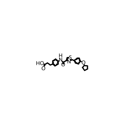 O=C(O)CCc1ccc(NC(=O)c2csc(-c3ccc(OC4CCCC4)cc3)n2)cc1